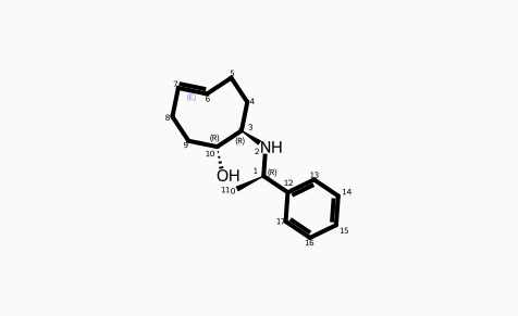 C[C@@H](N[C@@H]1CC/C=C/CC[C@H]1O)c1ccccc1